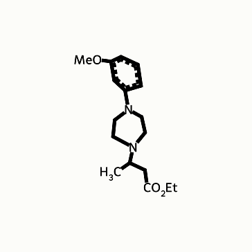 CCOC(=O)CC(C)N1CCN(c2cccc(OC)c2)CC1